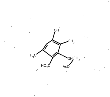 COC(C)=O.Cc1cc(O)c(C)c(O)c1C(=O)O